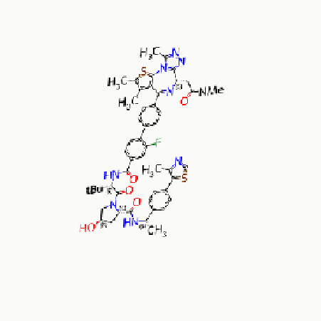 CNC(=O)C[C@@H]1N=C(c2ccc(-c3ccc(C(=O)N[C@H](C(=O)N4C[C@H](O)C[C@H]4C(=O)N[C@@H](C)c4ccc(-c5scnc5C)cc4)C(C)(C)C)cc3F)cc2)c2c(sc(C)c2C)-n2c(C)nnc21